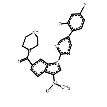 C[S+]([O-])c1cn(-c2ncc(-c3ccc(F)cc3F)cn2)c2cc(C(=O)N3CCNCC3)ccc12